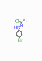 CC(=O)C(Cl)=NNc1ccc(Br)cc1